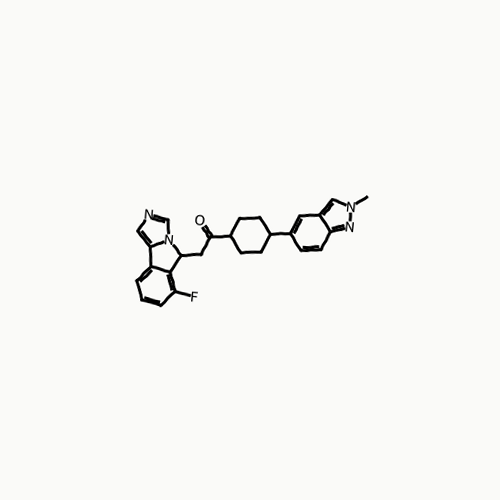 Cn1cc2cc(C3CCC(C(=O)CC4c5c(F)cccc5-c5cncn54)CC3)ccc2n1